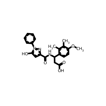 COc1ccc(C(CC(=O)O)NC(=O)c2cc(O)n(-c3ccccc3)n2)c(C)c1C